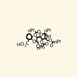 C/C=C(\Oc1ccccc1C(=O)O)[C@H](OC(=O)CCC)[C@@H](OC(=O)CCC)[C@H](OC(=O)CCC)[C@H](O)COC(=O)CCC